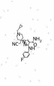 N#CCC1(n2cc(C(N)=O)c(Nc3ccc(F)cc3)n2)CCN(CC2CC2)CC1